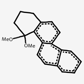 COC1(OC)CCCc2ccc3c(ccc4ccccc43)c21